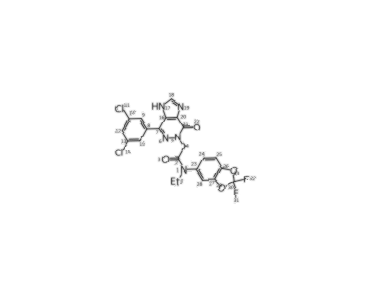 CCN(C(=O)Cn1nc(-c2cc(Cl)cc(Cl)c2)c2[nH]cnc2c1=O)c1ccc2c(c1)OC(F)(F)O2